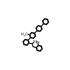 CCC(Cc1ccccc1Br)c1ccccc1-c1ccc(-c2ccc(-c3ccccc3)cc2)cc1C